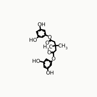 CC(C)(CC(=O)Oc1cc(O)cc(O)c1)CC(=O)Oc1cc(O)cc(O)c1